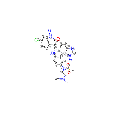 CN(C)CCN(c1ccc(NC(=C2C(=O)Nc3cc(Cl)ccc32)c2ccc3nc[nH]c3c2)cc1)S(C)(=O)=O